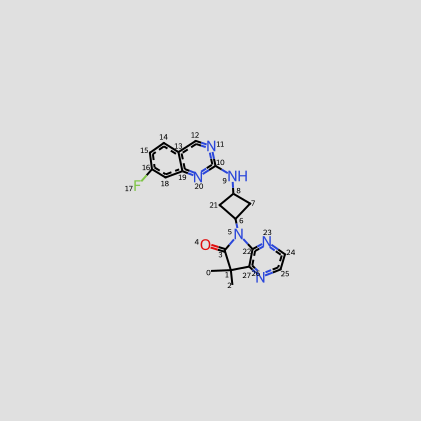 CC1(C)C(=O)N(C2CC(Nc3ncc4ccc(F)cc4n3)C2)c2nccnc21